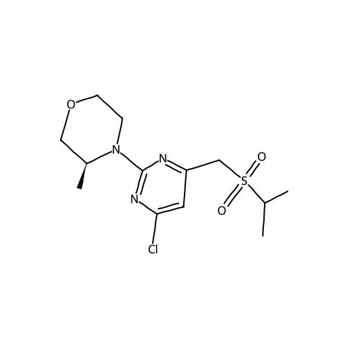 CC(C)S(=O)(=O)Cc1cc(Cl)nc(N2CCOC[C@@H]2C)n1